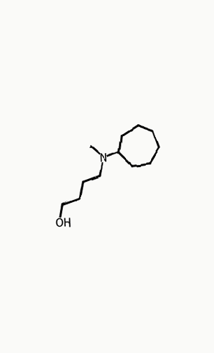 CN(CCCCO)C1CCCCCC1